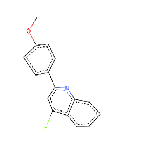 COc1ccc(-c2cc(F)c3ccccc3n2)cc1